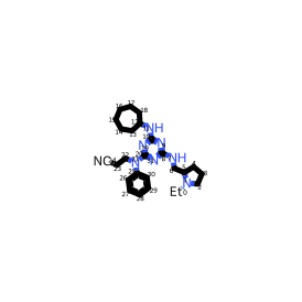 CCN1CCCC1CNc1nc(NC2CCCCCC2)nc(N(CCC#N)c2ccccc2)n1